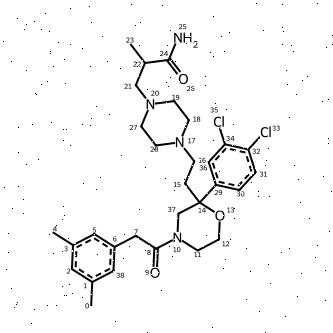 Cc1cc(C)cc(CC(=O)N2CCOC(CCN3CCN(CC(C)C(N)=O)CC3)(c3ccc(Cl)c(Cl)c3)C2)c1